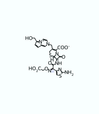 Nc1nc(/C(=N/OCC(=O)O)C(=O)N[C@@H]2C(=O)N3C(C(=O)[O-])=C(Cn4cc[n+]5c(CO)ccc-5c4)CS[C@@H]23)cs1